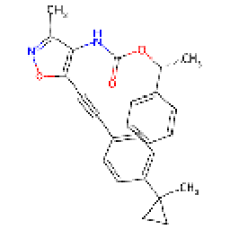 Cc1noc(C#Cc2ccc(C3(C)CC3)cc2)c1NC(=O)O[C@H](C)c1ccccc1